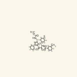 C=CC(=O)NCc1nn(-c2ccccc2)c2c1C(c1ccc(F)cc1)C(NC(=O)c1cccc(C)c1)C(=O)N2CC